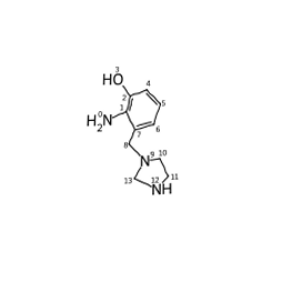 Nc1c(O)cccc1CN1CCNC1